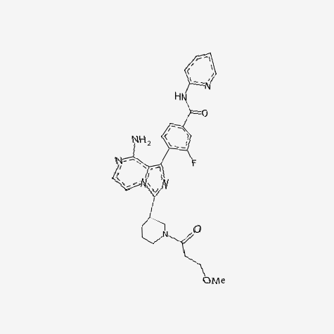 COCCC(=O)N1CCCC(c2nc(-c3ccc(C(=O)Nc4ccccn4)cc3F)c3c(N)nccn23)C1